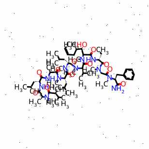 C/C=C\C[C@@H](C)[C@H](O)C(C(=O)N[C@H](CC)C(=O)N(C)CC(=O)N(C)[C@@H](Cc1ccccc1)C(N)=O)N(C)C(=O)[C@@H](C(C)C)N(C)C(=O)[C@@H](CC(C)C)N(C)C(=O)[C@H](CC(C)C)N(C)C(=O)[C@H](C)NC(=O)[C@@H](CC(C)C)NC(=O)[C@H](C)N(C)C(=O)[C@H](C)C(C)C